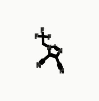 N#Cc1n[c]n(CC(F)(F)F)c1C#N